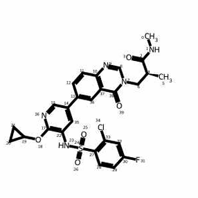 CNC(=O)[C@@H](C)Cn1cnc2ccc(-c3cnc(OC4CC4)c(NS(=O)(=O)c4ccc(F)cc4Cl)c3)cc2c1=O